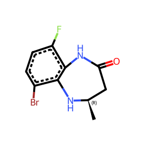 C[C@@H]1CC(=O)Nc2c(F)ccc(Br)c2N1